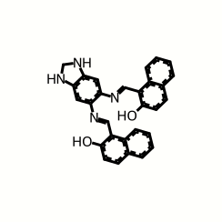 Oc1ccc2ccccc2c1C=Nc1cc2c(cc1N=Cc1c(O)ccc3ccccc13)NCN2